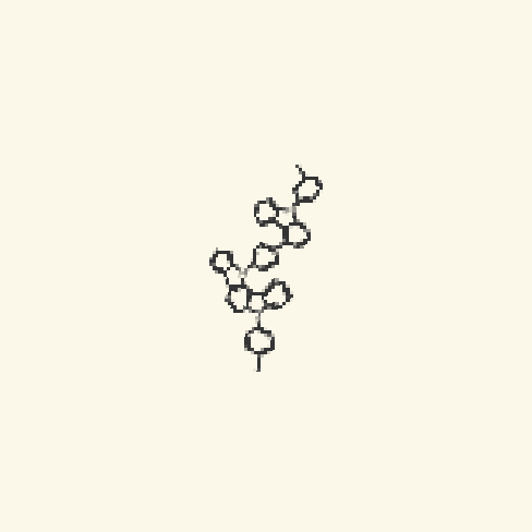 Cc1ccc(-n2c3ccccc3c3c2ccc2c4ccccc4n(-c4ccc(-c5cccc6c5c5ccccc5n6-c5cccc(C)c5)cc4)c23)cc1